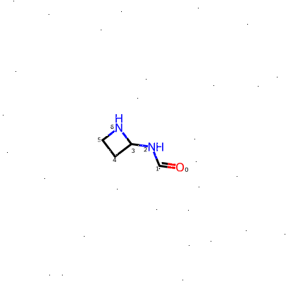 O=[C]NC1CCN1